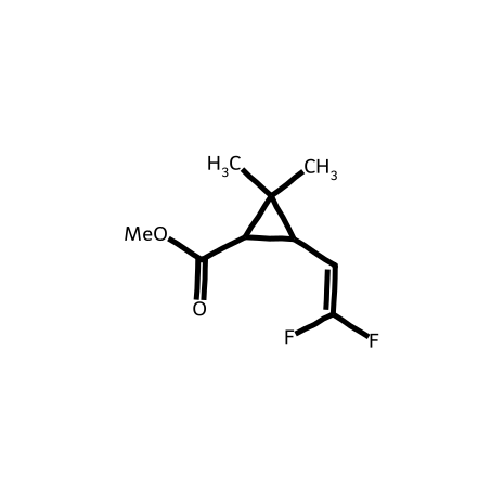 COC(=O)C1C(C=C(F)F)C1(C)C